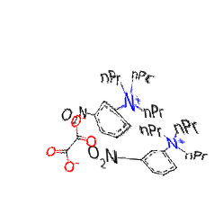 CCC[N+](CCC)(CCC)c1cccc([N+](=O)[O-])c1.CCC[N+](CCC)(CCC)c1cccc([N+](=O)[O-])c1.O=C([O-])C(=O)[O-]